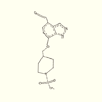 CS(=O)(=O)N1CCC(COc2ccc(C=O)c3cn[nH]c23)CC1